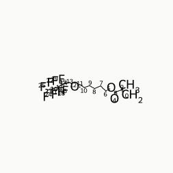 C=C(C)C(=O)OCCCCC[CH]OCC(F)(F)C(F)(F)C(F)(F)C(F)F